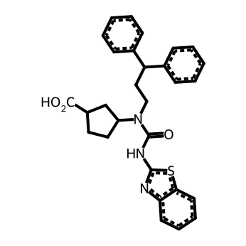 O=C(O)C1CCC(N(CCC(c2ccccc2)c2ccccc2)C(=O)Nc2nc3ccccc3s2)C1